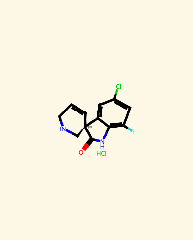 Cl.O=C1Nc2c(F)cc(Cl)cc2[C@@]12C=CCNC2